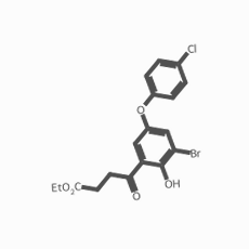 CCOC(=O)CCC(=O)c1cc(Oc2ccc(Cl)cc2)cc(Br)c1O